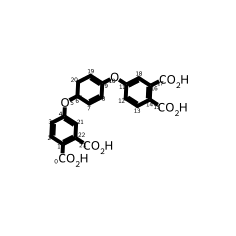 O=C(O)c1ccc(O[C]2C=CC(Oc3ccc(C(=O)O)c(C(=O)O)c3)=CC2)cc1C(=O)O